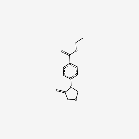 CCOC(=O)c1ccc(N2CSCC2=O)cc1